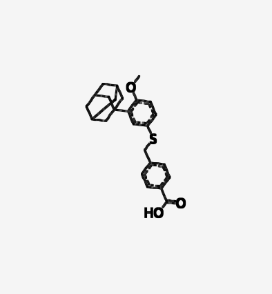 COc1ccc(SCc2ccc(C(=O)O)cc2)cc1C12CC3CC(CC(C3)C1)C2